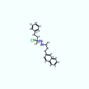 CC(CCc1ccc2ccccc2c1)N=NC(C)(Cl)CCc1ccccc1